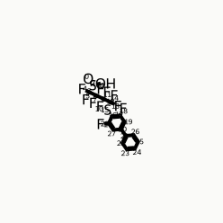 O=S(O)C(F)(F)C(F)(F)C(F)(F)C(F)(F)Sc1c(F)cc(-c2ccccc2)cc1F